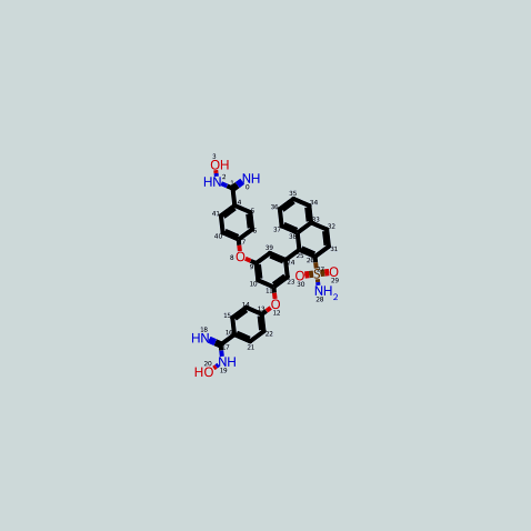 N=C(NO)c1ccc(Oc2cc(Oc3ccc(C(=N)NO)cc3)cc(-c3c(S(N)(=O)=O)ccc4ccccc34)c2)cc1